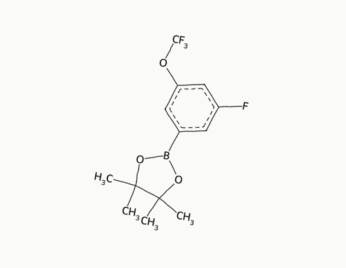 CC1(C)OB(c2cc(F)cc(OC(F)(F)F)c2)OC1(C)C